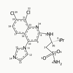 CC(C)[C@H](CS(N)(=O)=O)Nc1cc(-n2ccnc2)c2ccc(Cl)c(Cl)c2n1